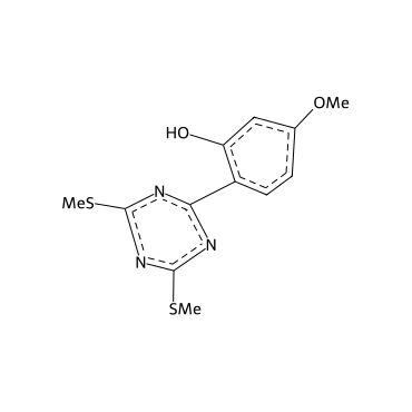 COc1ccc(-c2nc(SC)nc(SC)n2)c(O)c1